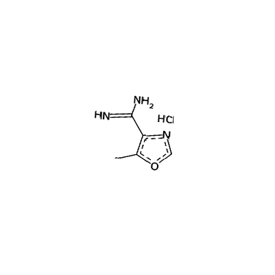 Cc1ocnc1C(=N)N.Cl